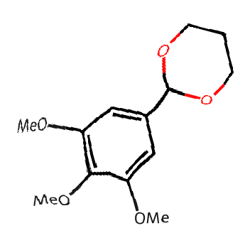 COc1cc(C2OCCCO2)cc(OC)c1OC